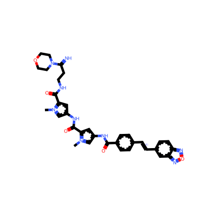 Cn1cc(NC(=O)c2cc(NC(=O)c3ccc(/C=C/c4ccc5nonc5c4)cc3)cn2C)cc1C(=O)NCCC(=N)N1CCOCC1